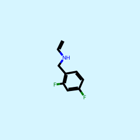 C=CNCc1ccc(F)cc1F